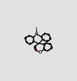 IN1c2ccccc2C2(c3ccccc3Oc3ccccc32)c2ccccc21